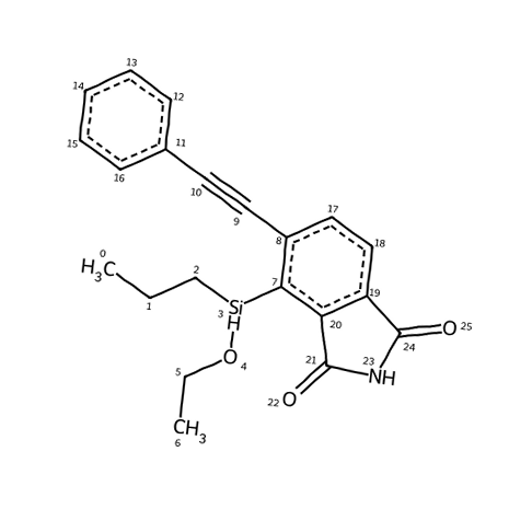 CCC[SiH](OCC)c1c(C#Cc2ccccc2)ccc2c1C(=O)NC2=O